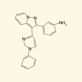 Nc1cccc(-c2nn3ccccc3c2C2=NCN(c3ccccc3)C=C2)c1